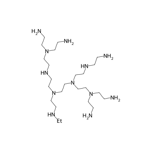 CCNCCN(CCNCCN(CCN)CCN)CCN(CCNCCN)CCN(CCN)CCN